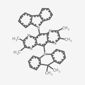 Cc1nc2c(N3c4ccccc4C(C)(C)c4ccccc43)c3nc(C)c(C)nc3c(-n3c4ccccc4c4ccccc43)c2nc1C